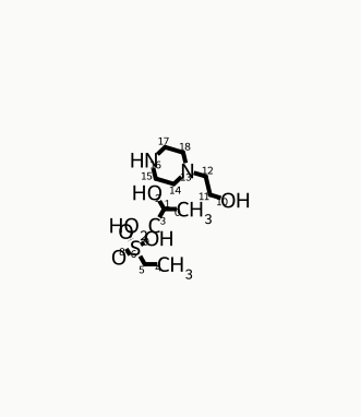 CC(O)C(=O)O.CCS(=O)(=O)O.OCCN1CCNCC1